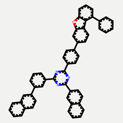 c1ccc(-c2cccc3oc4cc(-c5ccc(-c6nc(-c7cccc(-c8ccc9ccccc9c8)c7)nc(-c7ccc8ccccc8c7)n6)cc5)ccc4c23)cc1